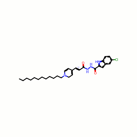 CCCCCCCCCCCCN1C=CC(/C=C/C(=O)NNC(=O)c2cc3cc(Cl)ccc3[nH]2)=CC1